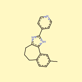 Cc1ccc2c(c1)-c1[nH]c(-c3ccncc3)nc1CCC2